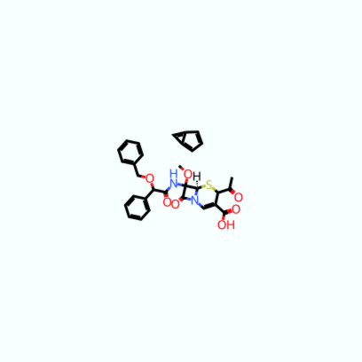 COC1(NC(=O)C(OCc2ccccc2)c2ccccc2)C(=O)N2C=C(C(=O)O)C(C(C)=O)S[C@@H]21.c1cc2cc-2c1